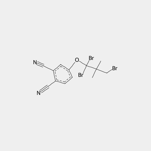 CC(C)(CBr)C(Br)(Br)Oc1ccc(C#N)c(C#N)c1